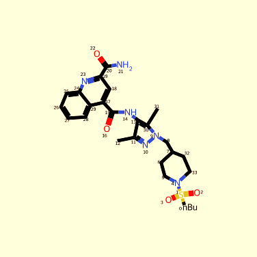 CCCCS(=O)(=O)N1CCC(Cn2nc(C)c(NC(=O)c3cc(C(N)=O)nc4ccccc34)c2C)CC1